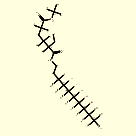 CCC(C)(C(=O)OCCC(F)(F)C(F)(F)C(F)(F)C(F)(F)C(F)(F)C(F)(F)C(F)(F)C(F)(F)F)C(C)(C)CC(C)(C)C(=O)OC(C)(C)C